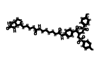 Cc1ccc(S(=O)(=O)CC(CS(=O)(=O)c2ccc(C)cc2)C(=O)c2ccc(NC(=O)CCCCCNC(=O)CCCCC3SCC4NC(=O)NC43)cc2)cc1